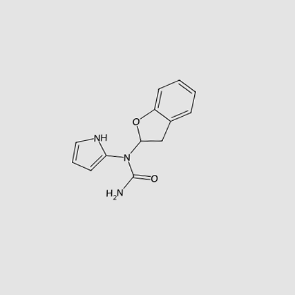 NC(=O)N(c1ccc[nH]1)C1Cc2ccccc2O1